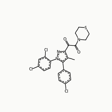 Cc1c(C(=O)C(=O)N2CCSCC2)nn(-c2ccc(Cl)cc2Cl)c1-c1ccc(Cl)cc1